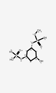 COP(=O)(S)O[C@@H]1C[C@@H](O)C[C@@H](OP(=O)(O)S)C1